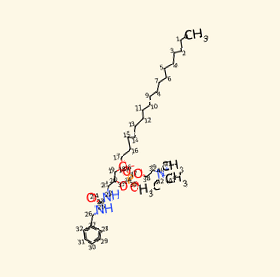 CCCCCCCCCCCCCCCCCCOCC(CNC(=O)NCc1ccccc1)OP(=O)([O-])OCC[N+](C)(C)C